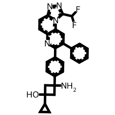 NC1(c2ccc(-c3nc4ccc5nnc(C(F)F)n5c4cc3-c3ccccc3)cc2)CC(O)(C2CC2)C1